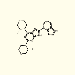 CC[C@@H]1COCCN1c1nc(N2CCOC[C@H]2C)c2nc(-c3cccc4[nH]ccc34)[nH]c2n1